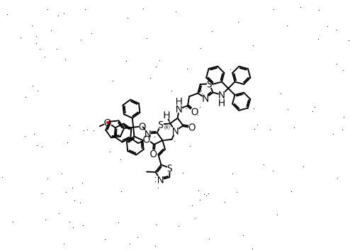 COc1ccc(COC(=O)C2(C=Cc3scnc3C)CN3C(=O)C(NC(=O)Cc4csc(NC(c5ccccc5)(c5ccccc5)c5ccccc5)n4)[C@H]3SC2=NOC(c2ccccc2)(c2ccccc2)c2ccccc2)cc1